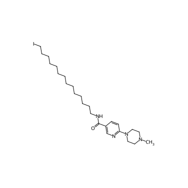 CN1CCN(c2ccc(C(=O)NCCCCCCCCCCCCCCI)cn2)CC1